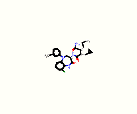 NC(=O)[C@H](CCC(F)(F)F)[C@H](CC1CC1)C(=O)N[C@H]1CN(c2cccc(C(F)(F)F)c2)c2cccc(F)c2NC1=O